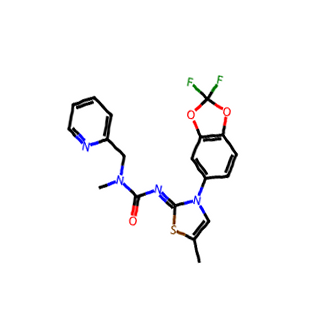 Cc1cn(-c2ccc3c(c2)OC(F)(F)O3)/c(=N/C(=O)N(C)Cc2ccccn2)s1